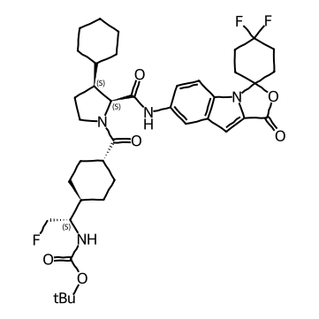 CC(C)(C)OC(=O)N[C@H](CF)[C@H]1CC[C@H](C(=O)N2CC[C@@H](C3CCCCC3)[C@H]2C(=O)Nc2ccc3c(c2)cc2n3C3(CCC(F)(F)CC3)OC2=O)CC1